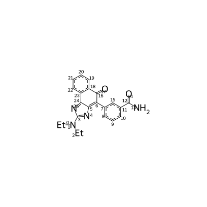 CCN(CC)C1=NC2=C(c3cccc(C(N)=O)c3)C(=O)c3ccccc3C2=N1